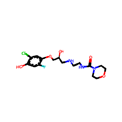 O=C(NCCNC[C@H](O)COc1cc(Cl)c(O)cc1F)N1CCOCC1